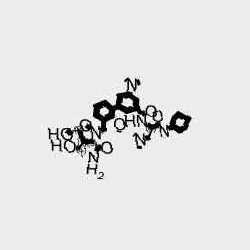 COc1c(CN2O[C@@H](CO)[C@H]([C@H](C)O)[C@H]2C(N)=O)cccc1-c1cc(C(=O)N[C@H](CN(C)C)C(=O)N(C)c2ccccc2)cc(N(C)C)c1